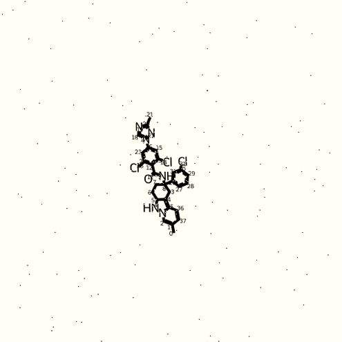 CC1=CN2NC3CCC(NC(=O)c4c(Cl)cc(-n5cnc(C)n5)cc4Cl)(c4cccc(Cl)c4)CC3=C2C=C1